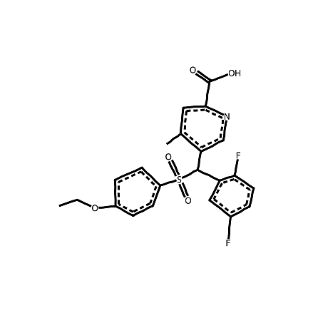 CCOc1ccc(S(=O)(=O)C(c2cnc(C(=O)O)cc2C)c2cc(F)ccc2F)cc1